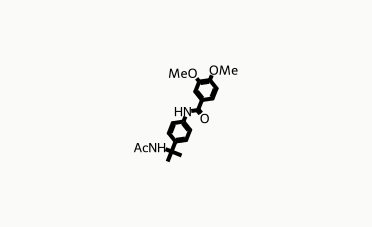 COc1ccc(C(=O)Nc2ccc(C(C)(C)NC(C)=O)cc2)cc1OC